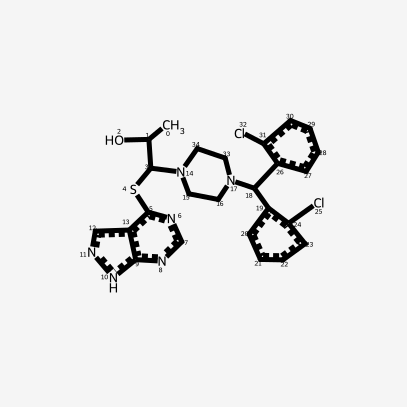 CC(O)C(Sc1ncnc2[nH]ncc12)N1CCN(C(c2ccccc2Cl)c2ccccc2Cl)CC1